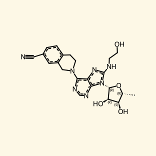 C[C@H]1O[C@@H](n2c(NCCO)nc3c(N4CCc5ccc(C#N)cc5C4)ncnc32)[C@H](O)[C@@H]1O